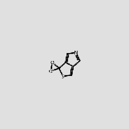 C1=NC=C2C1=CSC21OO1